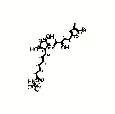 Cc1cc(CCC(O)C=C[C@@H]2[C@@H](CC=CCCCC(=O)NS(C)(=O)=O)[C@@H](O)C[C@H]2O)sc1Br